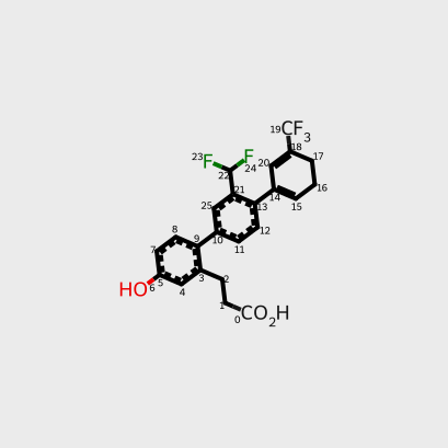 O=C(O)CCc1cc(O)ccc1-c1ccc(C2=CCCC(C(F)(F)F)=C2)c(C(F)F)c1